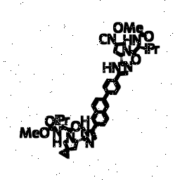 [C-]#[N+][C@H]1C[C@@H](c2ncc(-c3ccc(-c4ccc5cc(-c6cnc([C@@H]7CC8(CC8)CN7C(=O)[C@@H](NC(=O)OC)C(C)C)[nH]6)ccc5c4)cc3)[nH]2)N(C(=O)[C@@H](NC(=O)OC)C(C)C)C1